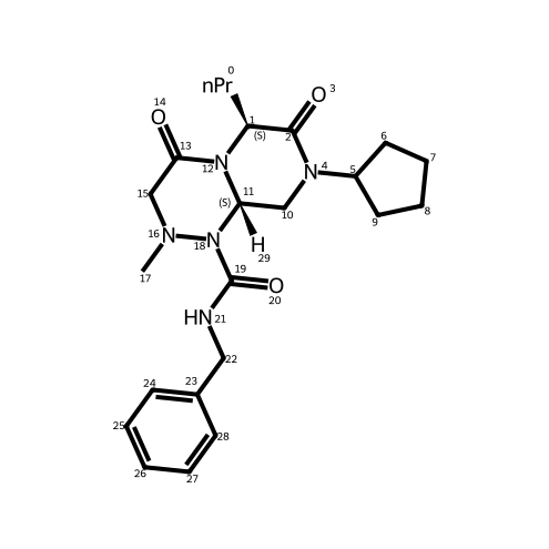 CCC[C@H]1C(=O)N(C2CCCC2)C[C@H]2N1C(=O)CN(C)N2C(=O)NCc1ccccc1